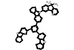 CC1(C)c2ccc(-n3c4ccccc4c4cc(-c5cc(-c6ccc7oc8ccccc8c7c6)cc(-c6ccc7oc8ccccc8c7c6)c5)ccc43)cc2-c2ncccc21